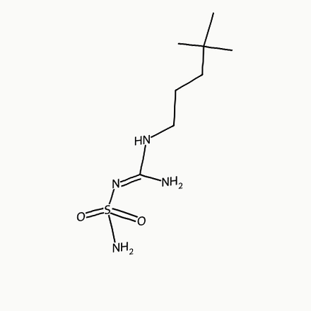 CC(C)(C)CCCN/C(N)=N/S(N)(=O)=O